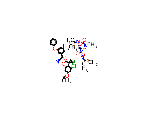 CCOc1ccc(C2(C(=O)OC(C#N)c3cccc(Oc4ccccc4)c3)CC2(Cl)Cl)cc1.CS/C(C)=N\OC(=O)N(C)SN(C)C(=O)O/N=C(/C)SC